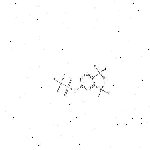 O=S(=O)(Oc1ccc(C(F)(F)F)c(C(F)(F)F)c1)C(F)(F)F